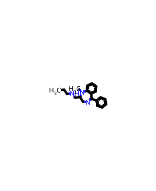 CCCNCC1CN=C(c2ccccc2)c2ccccc2N1C